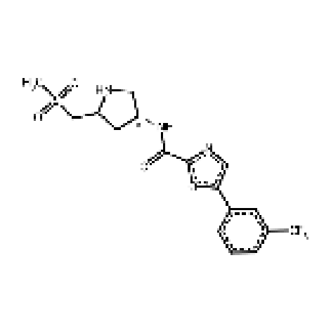 CS(=O)(=O)CC1C[C@@H](NC(=O)c2ncc(-c3cccc(C(F)(F)F)c3)o2)CN1